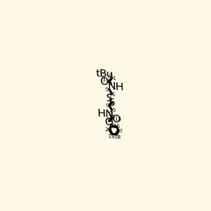 CC(C)(C)CC(=O)NCCSSCCNC(=O)Oc1ccccc1